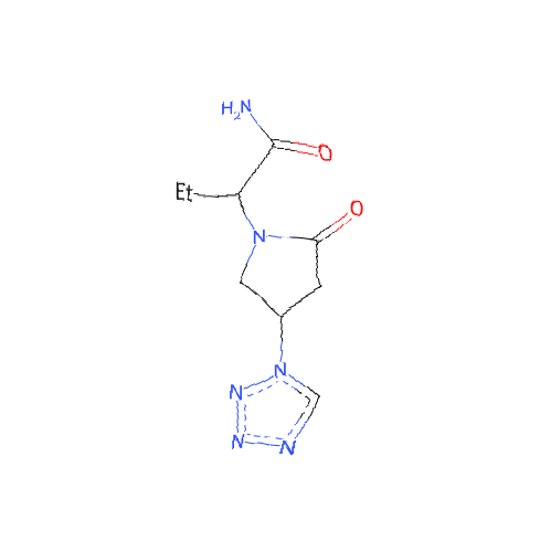 CCC(C(N)=O)N1CC(n2cnnn2)CC1=O